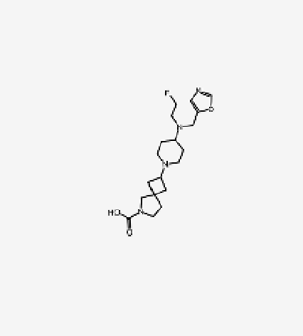 O=C(O)N1CCC2(CC(N3CCC(N(CCF)Cc4cnco4)CC3)C2)C1